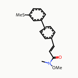 CON(C)C(=O)C=Cc1ccc(-c2cccc(SC)c2)cc1